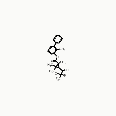 Cc1c(OC(=O)C2(C)C(C(O)C(Cl)(Br)C(F)(F)F)C2(C)C)cccc1-c1ccccc1